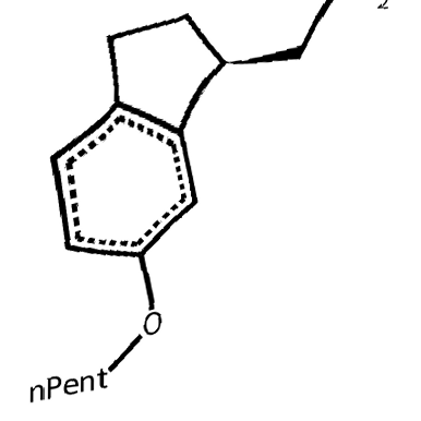 CCCCCOc1ccc2c(c1)[C@H](CC(=O)O)CC2